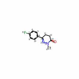 CCN1N=C(c2ccc(F)cc2)CCC1=O